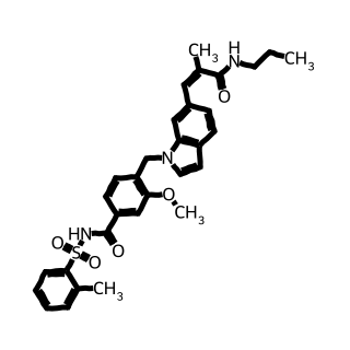 CCCNC(=O)C(C)=Cc1ccc2ccn(Cc3ccc(C(=O)NS(=O)(=O)c4ccccc4C)cc3OC)c2c1